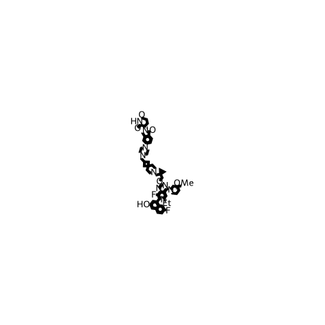 CCc1c(F)ccc2cc(O)cc(-c3ncc4c(N5CCC[C@@](C)(OC)C5)nc(OCC5(CN6CCC7(CC6)CC(CN6CCN(c8ccc9c(c8)CN([C@H]8CCC(=O)NC8=O)C9=O)CC6)C7)CC5)nc4c3F)c12